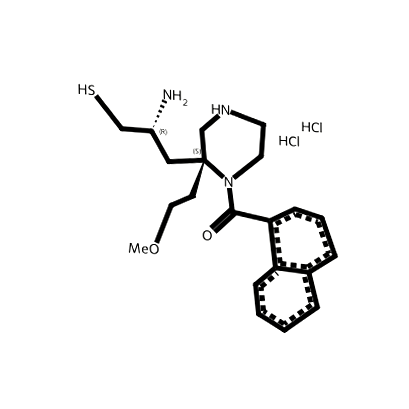 COCC[C@@]1(C[C@@H](N)CS)CNCCN1C(=O)c1cccc2ccccc12.Cl.Cl